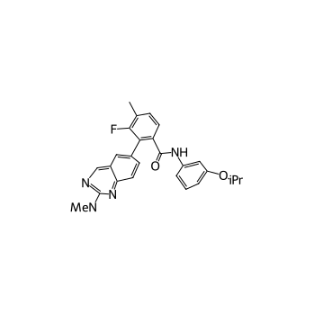 CNc1ncc2cc(-c3c(C(=O)Nc4cccc(OC(C)C)c4)ccc(C)c3F)ccc2n1